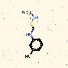 CCOC(=O)NSCNc1cccc(C#N)c1